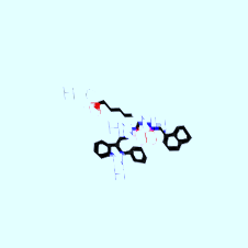 CC(=O)CCCCC[C@H](NC(=O)Cc1cccc2ccccc12)C(=O)NCCc1c(-c2ccccc2)[nH]c2ccccc12